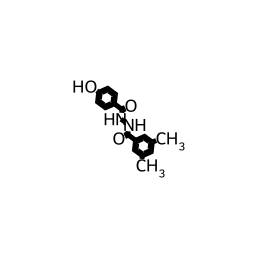 Cc1cc(C)cc(C(=O)NNC(=O)c2ccc(O)cc2)c1